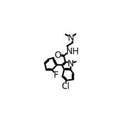 CN(C)CCNC(=O)c1c(-c2ccccc2F)c2cc(Cl)ccc2n1C